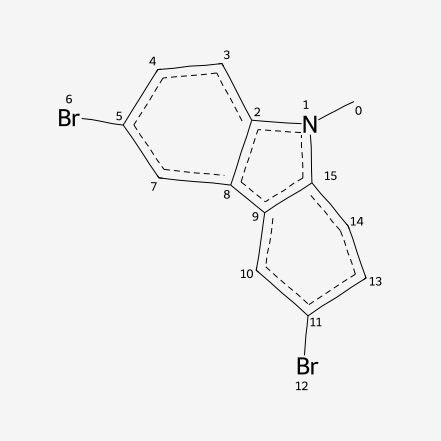 Cn1c2ccc(Br)cc2c2cc(Br)ccc21